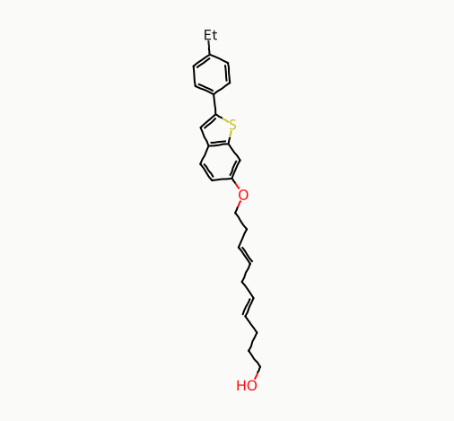 CCc1ccc(-c2cc3ccc(OCC/C=C/C/C=C/CCCO)cc3s2)cc1